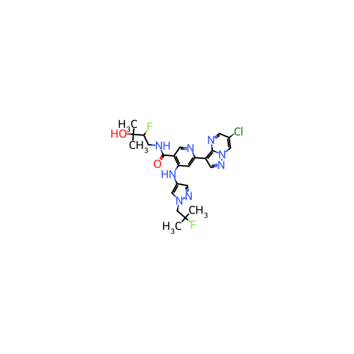 CC(C)(F)Cn1cc(Nc2cc(-c3cnn4cc(Cl)cnc34)ncc2C(=O)NCC(F)C(C)(C)O)cn1